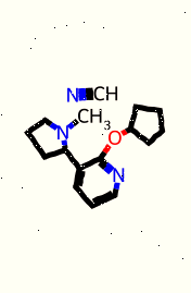 C#N.CN1CCCC1c1cccnc1OC1CCCC1